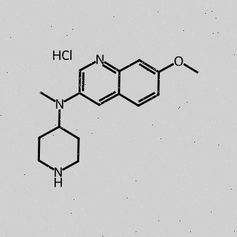 COc1ccc2cc(N(C)C3CCNCC3)cnc2c1.Cl